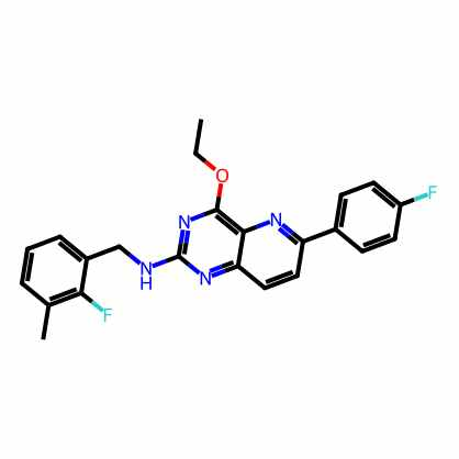 CCOc1nc(NCc2cccc(C)c2F)nc2ccc(-c3ccc(F)cc3)nc12